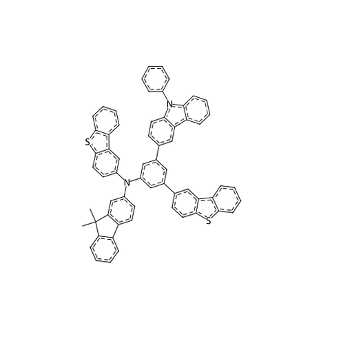 CC1(C)c2ccccc2-c2ccc(N(c3cc(-c4ccc5sc6ccccc6c5c4)cc(-c4ccc5c(c4)c4ccccc4n5-c4ccccc4)c3)c3ccc4sc5ccccc5c4c3)cc21